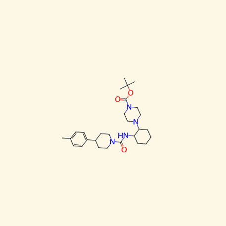 Cc1ccc(C2CCN(C(=O)NC3CCCCC3N3CCN(C(=O)OC(C)(C)C)CC3)CC2)cc1